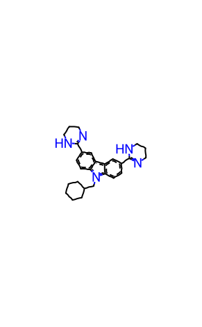 c1cc2c(cc1C1=NCCCN1)c1cc(C3=NCCCN3)ccc1n2CC1CCCCC1